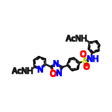 CC(=O)Nc1cccc(NS(=O)(=O)c2ccc(-c3noc(-c4cccc(NC(C)=O)n4)n3)cc2)c1